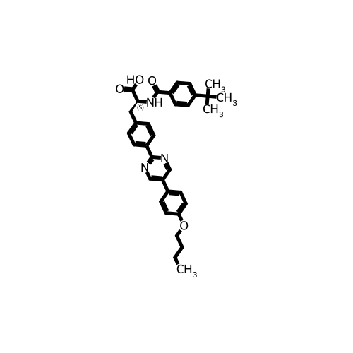 CCCCOc1ccc(-c2cnc(-c3ccc(C[C@H](NC(=O)c4ccc(C(C)(C)C)cc4)C(=O)O)cc3)nc2)cc1